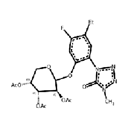 CCc1cc(-n2nnn(C)c2=O)c(OC2OC[C@@H](OC(C)=O)[C@@H](OC(C)=O)[C@@H]2OC(C)=O)cc1F